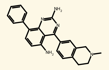 CN1CCc2ccc(-c3nc(N)nc4c(-c5ccccc5)ccc(N)c34)cc2C1